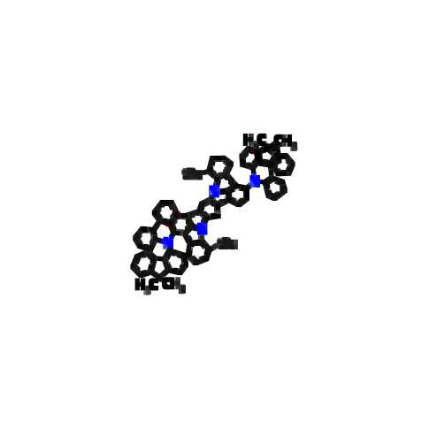 CC(C)(C)c1cccc2c3c(N(c4ccccc4-c4ccccc4)c4cccc5c4-c4ccccc4C5(C)C)ccc4c5cc6c(cc5n(c12)c43)c1ccc(N(c2ccccc2-c2ccccc2)c2cccc3c2-c2ccccc2C3(C)C)c2c3cccc(C(C)(C)C)c3n6c12